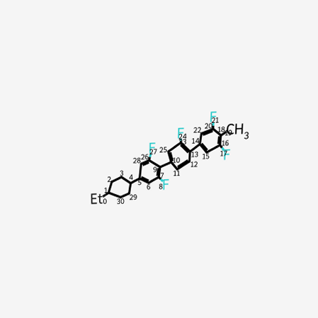 CCC1CCC(c2cc(F)c(-c3ccc(-c4cc(F)c(C)c(F)c4)c(F)c3)c(F)c2)CC1